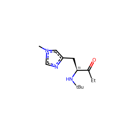 CCC(=O)[C@H](Cc1cn(C)cn1)NC(C)(C)C